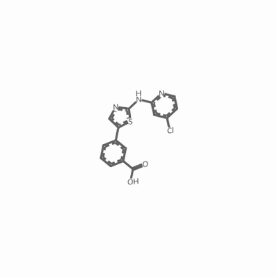 O=C(O)c1cccc(-c2cnc(Nc3cc(Cl)ccn3)s2)c1